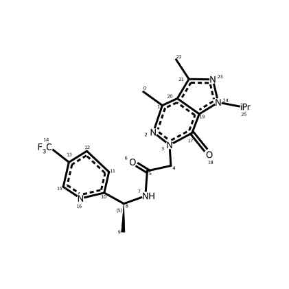 Cc1nn(CC(=O)N[C@@H](C)c2ccc(C(F)(F)F)cn2)c(=O)c2c1c(C)nn2C(C)C